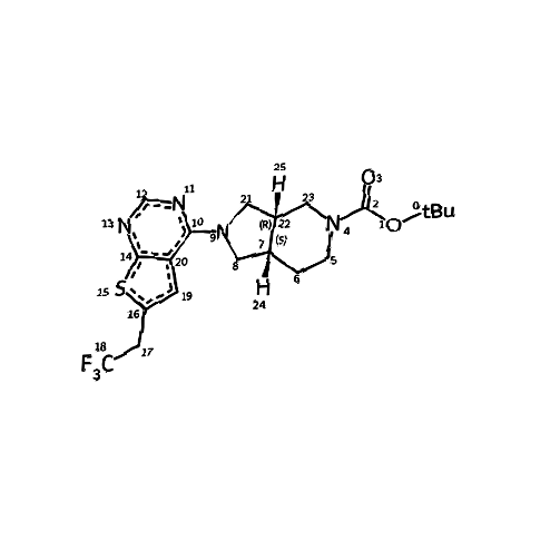 CC(C)(C)OC(=O)N1CC[C@@H]2CN(c3ncnc4sc(CC(F)(F)F)cc34)C[C@@H]2C1